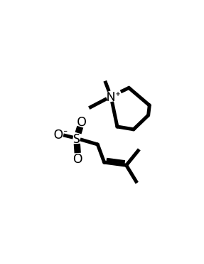 CC(C)=CCS(=O)(=O)[O-].C[N+]1(C)CCCCC1